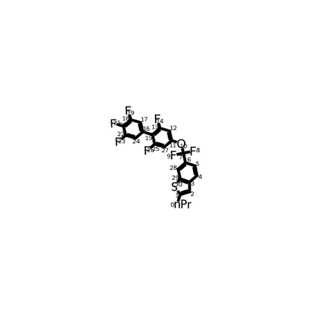 CCCc1cc2ccc(C(F)(F)Oc3cc(F)c(-c4cc(F)c(F)c(F)c4)c(F)c3)cc2s1